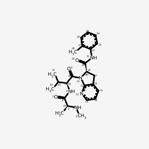 CN[C@@H](C)C(=O)N[C@H](C(=O)N1c2ncccc2C[C@@H]1C(=O)Nc1ccccc1C)C(C)C